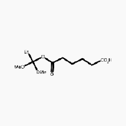 CCC(OC)(OC)OC(=O)CCCCC(=O)O